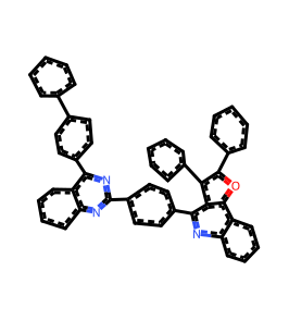 c1ccc(-c2ccc(-c3nc(-c4ccc(-c5nc6ccccc6c6oc(-c7ccccc7)c(-c7ccccc7)c56)cc4)nc4ccccc34)cc2)cc1